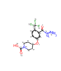 NNC(=O)c1cc(OC2CCN(C(=O)O)CC2)ccc1C(F)(F)F